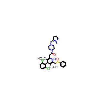 CN1CCC[C@@H]1CN1CCN(C(=O)CC2=C(C(=O)O)C(c3c(Cl)cccc3Cl)C(C(=O)O)=C(C[S+]([O-])c3ccccc3)N2)CC1